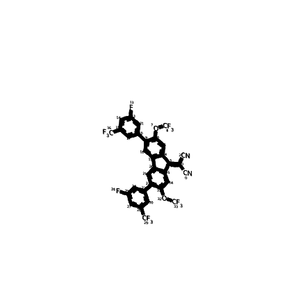 N#CC(C#N)=C1c2cc(OC(F)(F)F)c(-c3cc(F)cc(C(F)(F)F)c3)cc2-c2cc(-c3cc(F)cc(C(F)(F)F)c3)c(OC(F)(F)F)cc21